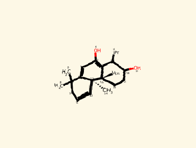 CC(C)C1C2=C(O)C=C3C(C)(C)CC=C[C@]3(C)[C@H]2CCC1O